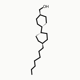 CCCCCCC[C@H]1CC[C@H]([C@H]2CC[C@H](CO)CC2)CC1